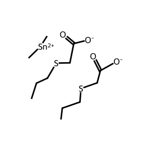 CCCSCC(=O)[O-].CCCSCC(=O)[O-].[CH3][Sn+2][CH3]